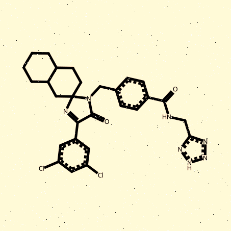 O=C(NCc1nn[nH]n1)c1ccc(CN2C(=O)C(c3cc(Cl)cc(Cl)c3)=NC23CCC2CCCCC2C3)cc1